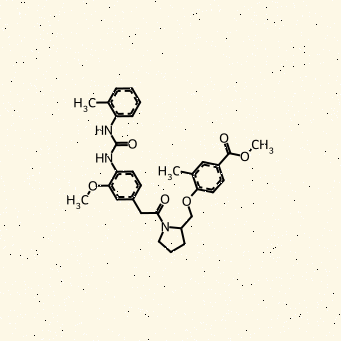 COC(=O)c1ccc(OCC2CCCN2C(=O)Cc2ccc(NC(=O)Nc3ccccc3C)c(OC)c2)c(C)c1